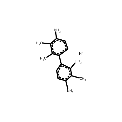 Cc1c(N)ccc(-c2ccc(N)c(C)c2C)c1C.[H+]